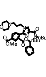 CCCCN(CCCC)C(=O)c1cn(CCCN2CCOCC2)c(-c2ccc(C(=O)OC)cc2C(=O)OCc2ccccc2)n1